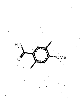 COc1cc(C)c(C(N)=O)cc1C